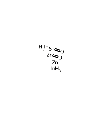 [InH3].[InH3].[O]=[Sn].[O]=[Zn].[Zn]